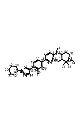 CC1C(N(C)c2ccc(-c3ccc(-c4cnn(C5CCCCO5)c4)c(F)c3F)nn2)CCN(C)C1(C)C